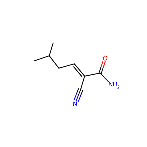 CC(C)C/C=C(\C#N)C(N)=O